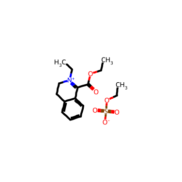 CCOC(=O)C1=[N+](CC)CCc2ccccc21.CCOS(=O)(=O)[O-]